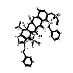 C=CS(=O)(=O)Cc1cc(F)c2c(c1OCc1ccccc1)C(=O)C1=C(O)C3(O[Si](C)(C)C(C)(C)C)C(=O)c4c(OCc5ccccc5)noc4[C@@H](N(C)C)[C@@H]3C[C@@H]1C2